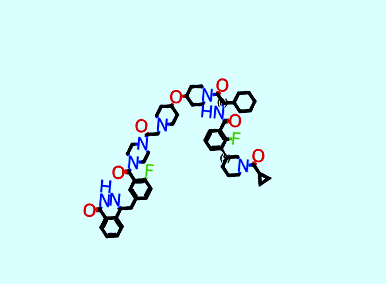 O=C(N[C@@H](C(=O)N1CCC(OC2CCN(CC(=O)N3CCN(C(=O)c4cc(Cc5n[nH]c(=O)c6ccccc56)ccc4F)CC3)CC2)CC1)C1CCCCC1)c1cccc([C@@H]2CCCN(C(=O)C3CC3)C2)c1F